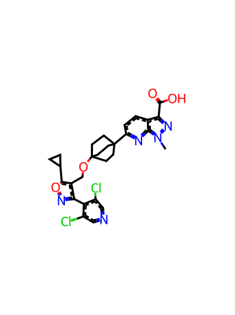 Cn1nc(C(=O)O)c2ccc(C34CCC(OCc5c(-c6c(Cl)cncc6Cl)noc5C5CC5)(CC3)CC4)nc21